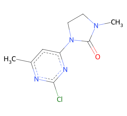 Cc1cc(N2CCN(C)C2=O)nc(Cl)n1